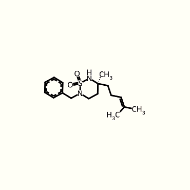 CC(C)=CCC[C@@]1(C)CCN(Cc2ccccc2)S(=O)(=O)N1